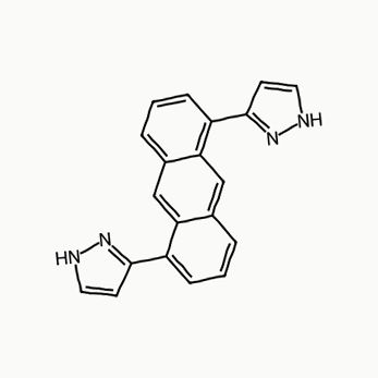 c1cc(-c2cc[nH]n2)c2cc3cccc(-c4cc[nH]n4)c3cc2c1